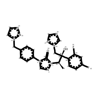 C[C@@H](n1ncn(-c2ccc(Cn3ccnn3)cc2)c1=O)[C@](O)(Cn1cncn1)c1ccc(F)cc1F